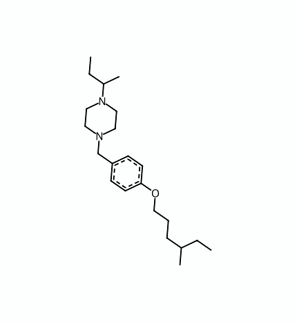 CCC(C)CCCOc1ccc(CN2CCN(C(C)CC)CC2)cc1